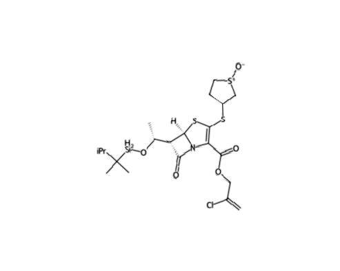 C=C(Cl)COC(=O)C1=C(SC2CC[S+]([O-])C2)S[C@@H]2[C@@H]([C@@H](C)O[SiH2]C(C)(C)C(C)C)C(=O)N12